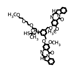 COCCOCCOCCN(CC(C)(C)S)c1cc(COc2cc3c(cc2OC)C(=O)N2c4ccccc4C[C@H]2C=N3)cc(COc2cc3c(cc2OC)C(=O)N2c4ccccc4C[C@@H]2C=N3)c1